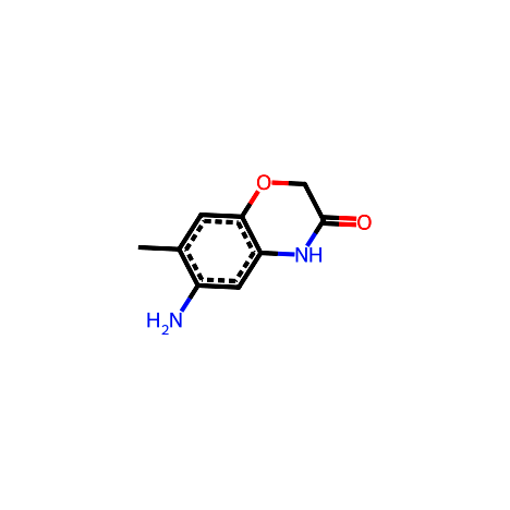 Cc1cc2c(cc1N)NC(=O)CO2